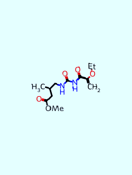 C=C(OCC)C(=O)NC(=O)NCC(C)CC(=O)OC